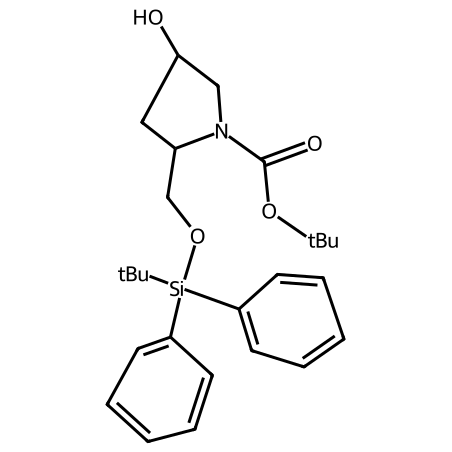 CC(C)(C)OC(=O)N1CC(O)CC1CO[Si](c1ccccc1)(c1ccccc1)C(C)(C)C